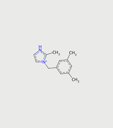 Cc1cc(C)cc(C[n+]2cc[nH]c2C)c1